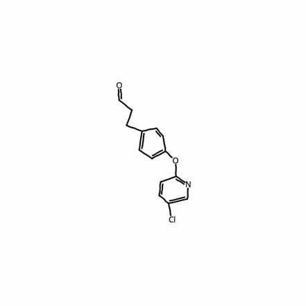 O=CCCc1ccc(Oc2ccc(Cl)cn2)cc1